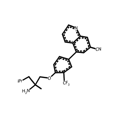 CC(C)CC(C)(N)COc1ccc(-c2cc(C#N)cc3ncccc23)cc1C(F)(F)F